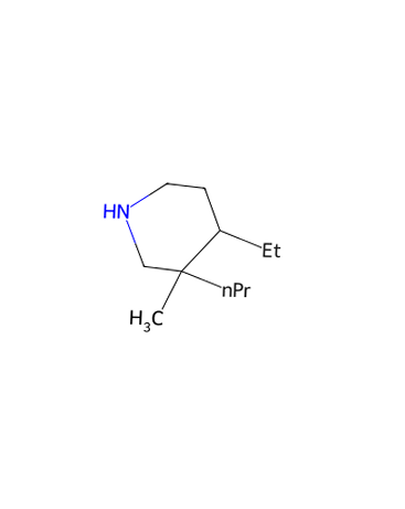 CCCC1(C)CNCCC1CC